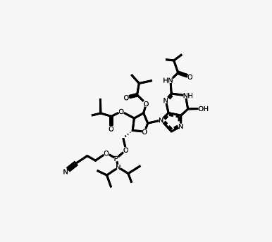 CC(C)C(=O)NC1=Nc2c(ncn2C2O[C@H](COP(OCCC#N)N(C(C)C)C(C)C)C(OC(=O)C(C)C)C2OC(=O)C(C)C)C(O)N1